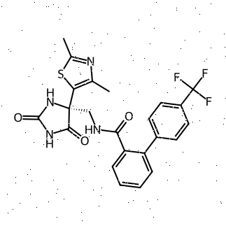 Cc1nc(C)c([C@]2(CNC(=O)c3ccccc3-c3ccc(C(F)(F)F)cc3)NC(=O)NC2=O)s1